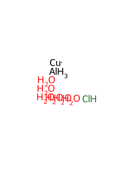 Cl.O.O.O.O.O.O.[AlH3].[Cu]